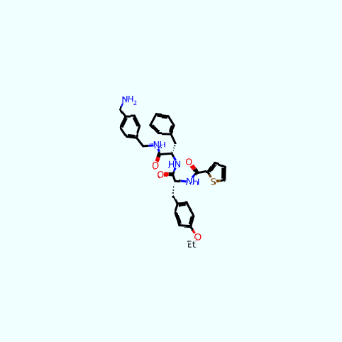 CCOc1ccc(C[C@@H](NC(=O)c2cccs2)C(=O)N[C@@H](Cc2ccccc2)C(=O)NCc2ccc(CN)cc2)cc1